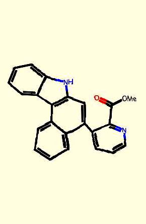 COC(=O)c1ncccc1-c1cc2[nH]c3ccccc3c2c2ccccc12